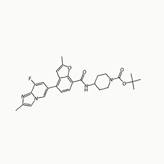 Cc1cn2cc(-c3ccc(C(=O)NC4CCN(C(=O)OC(C)(C)C)CC4)c4oc(C)cc34)cc(F)c2n1